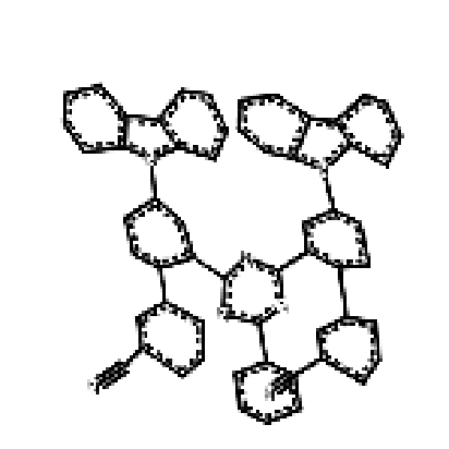 N#Cc1cccc(-c2ccc(-n3c4ccccc4c4ccccc43)cc2-c2nc(-c3ccccc3)nc(-c3cc(-n4c5ccccc5c5ccccc54)ccc3-c3cccc(C#N)c3)n2)c1